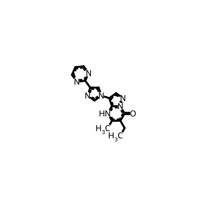 CCc1c(C)[nH]c2c(-n3cnc(-c4ncccn4)c3)cnn2c1=O